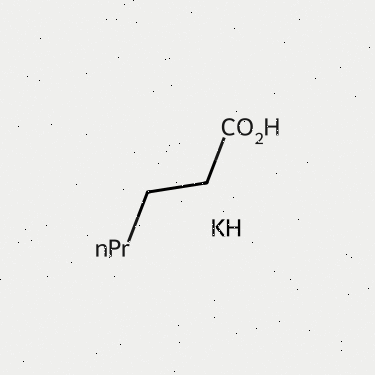 CCCCCC(=O)O.[KH]